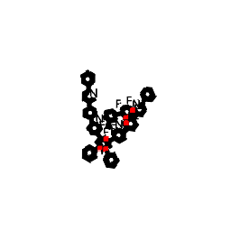 Fc1c(F)c(F)c(-c2ccc(-n3c4cc(-c5ccc(-c6ccccc6)nc5)ccc4c4ccc(-c5ccc(-c6ccccc6)nc5)cc43)c(C(F)(F)F)c2-n2c3cc(-c4ccc(-c5ccccc5)nc4)ccc3c3ccc(-c4ccc(-c5ccccc5)nc4)cc32)c(F)c1F